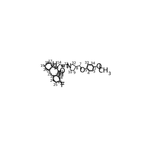 COc1ccc(OCC2CCN(C[C@H]3C[C@@H]4c5ccccc5Cc5ccc(F)cc5[C@@H]4O3)C2)cc1